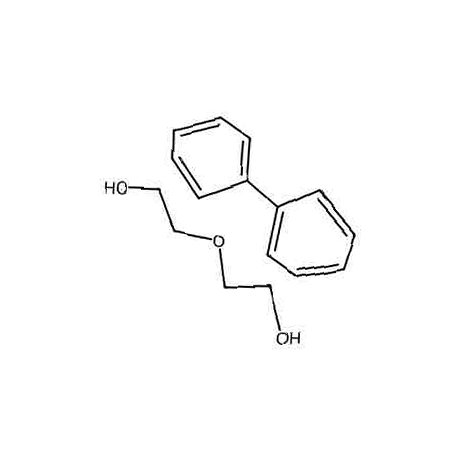 OCCOCCO.c1ccc(-c2ccccc2)cc1